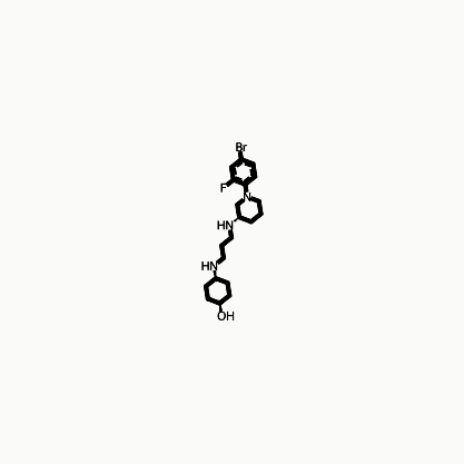 O[C@H]1CC[C@@H](NCCCN[C@H]2CCCN(c3ccc(Br)cc3F)C2)CC1